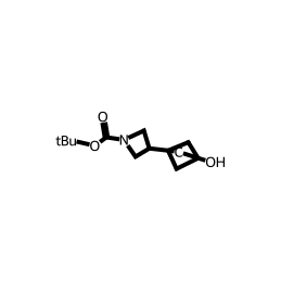 CC(C)(C)OC(=O)N1CC(C23CC(O)(C2)C3)C1